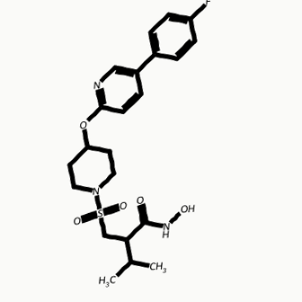 CC(C)C(CS(=O)(=O)N1CCC(Oc2ccc(-c3ccc(F)cc3)cn2)CC1)C(=O)NO